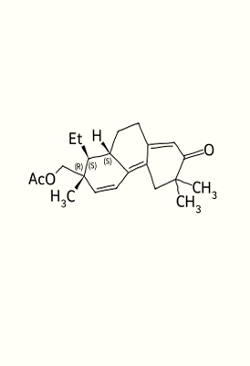 CC[C@H]1[C@@H]2CCC3=CC(=O)C(C)(C)CC3=C2C=C[C@]1(C)COC(C)=O